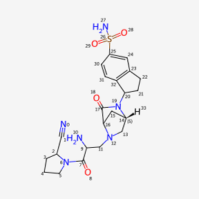 N#CC1CCCN1C(=O)C(N)CN1C[C@@H]2CC1C(=O)N2C1CCc2cc(S(N)(=O)=O)ccc21